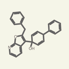 OC1(c2c(Cc3ccccc3)oc3ncccc23)C=CC(c2ccccc2)C=C1